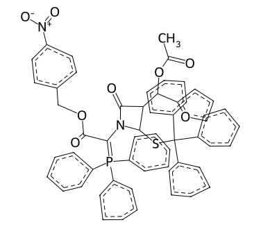 CC(=O)OC(c1ccco1)C1C(=O)N(C(C(=O)OCc2ccc([N+](=O)[O-])cc2)=P(c2ccccc2)(c2ccccc2)c2ccccc2)C1SC(c1ccccc1)(c1ccccc1)c1ccccc1